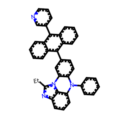 CCc1nc2cccc3c2n1-c1cc(-c2c4ccccc4c(-c4cccnc4)c4ccccc24)ccc1N3c1ccccc1